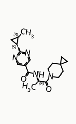 C[C@@H]1C[C@@H]1c1ncc(C(=O)N[C@H](C)C(=O)N2CCC3(CC2)CC3)cn1